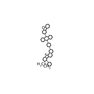 CC1(C)c2ccccc2-c2c1ccc1sc3c4cc(-c5ccc(-c6c7ccccc7c(-c7ccc8oc9ccccc9c8c7)c7ccccc67)cc5)ccc4ccc3c21